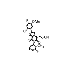 COc1cc(-c2cc3c(s2)c(=O)n(-c2cncc(F)c2C)c(=O)n3CCC#N)c(Cl)cc1F